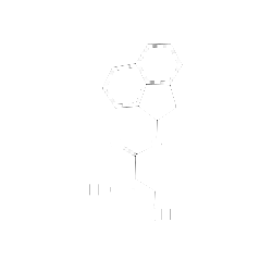 CC[C@H](C)C(=O)OC1Cc2cccc3cccc1c23